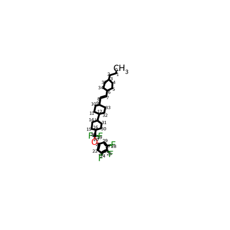 CCCC1CCC(/C=C/C2CCC(C3CCC(C(F)(F)Oc4cc(F)c(F)c(F)c4)CC3)CC2)CC1